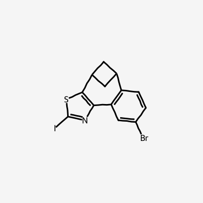 Brc1ccc2c(c1)-c1nc(I)sc1C1CC2C1